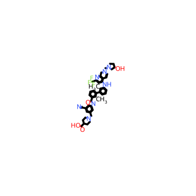 Cc1c(Nc2cc(C(F)(F)F)nc3c2C=CN(CN2CCC(O)C2)C3)cccc1-c1cccc(-c2nc3cc(CN4CCC(C(=O)O)CC4)cc(C#N)c3o2)c1C